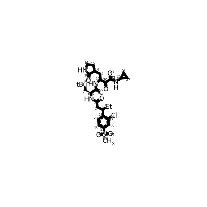 CCC(CC(=O)N[C@@H](CC(C)(C)C)C(=O)NC(CC1CCNC1=O)C(=O)C(=O)NC1CC1)c1ccc(S(C)(=O)=O)cc1Cl